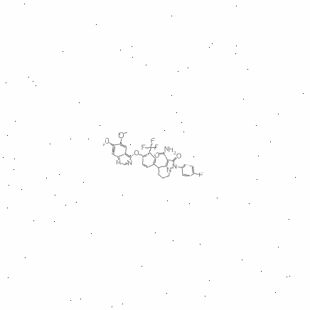 COc1cc2ncnc(Oc3ccc(C4CCCn5c4c(C(N)=O)c(=O)n5-c4ccc(F)cc4)cc3C(F)(F)F)c2cc1OC